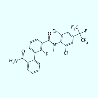 CN(C(=O)c1cccc(-c2ccccc2C(N)=O)c1F)c1c(Cl)cc(C(F)(C(F)(F)F)C(F)(F)F)cc1Cl